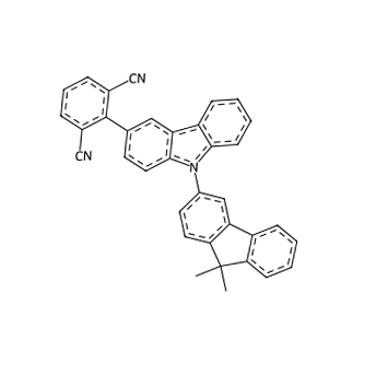 CC1(C)c2ccccc2-c2cc(-n3c4ccccc4c4cc(-c5c(C#N)cccc5C#N)ccc43)ccc21